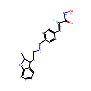 CC1Nc2ccccc2C1CCNCc1ccc(/C=C(\F)C(=O)NO)cc1